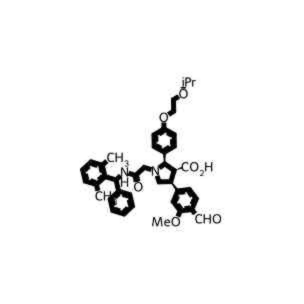 COc1cc([C@H]2CN(CC(=O)NC(c3ccccc3)c3c(C)cccc3C)[C@@H](c3ccc(OCCOC(C)C)cc3)[C@@H]2C(=O)O)ccc1C=O